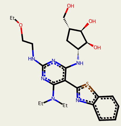 CCOCCNc1nc(N[C@@H]2C[C@H](CO)[C@@H](O)[C@H]2O)c(-c2nc3ccccc3s2)c(N(CC)CC)n1